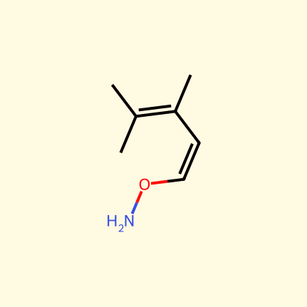 CC(C)=C(C)/C=C\ON